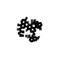 C=C1CCN2C[C@H](F)CC12COc1nc2c3c(nc(-c4cc(NC(=O)OC(C)(C)C)c(F)c5ccc(F)c(F)c45)c(F)c3n1)O[C@@H](C)[C@@H]1[C@@H]3CC[C@H](CN21)N3